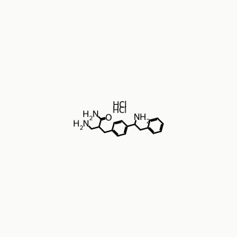 Cl.Cl.NCC(Cc1ccc(C(N)Cc2ccccc2)cc1)C(N)=O